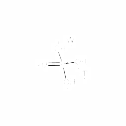 O=P(O)(O)O.[Ti].[W]